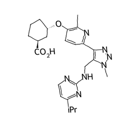 Cc1nc(-c2nnn(C)c2CNc2nccc(C(C)C)n2)ccc1O[C@H]1CCC[C@H](C(=O)O)C1